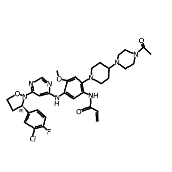 C=CC(=O)Nc1cc(Nc2cc(N3OCC[C@@H]3c3ccc(F)c(Cl)c3)ncn2)c(OC)cc1N1CCC(N2CCN(C(C)=O)CC2)CC1